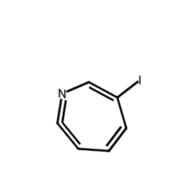 IC1=CN=C=CC=C1